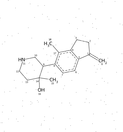 C=C1CCc2c1ccc(C1CNCCC1(C)O)c2C